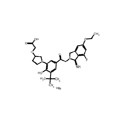 Br.CCOc1cc(F)c2c(c1)CN(CC(=O)c1cc(N3CCC(OCC(=O)O)C3)c(O)c(C(C)(C)C)c1)C2=N